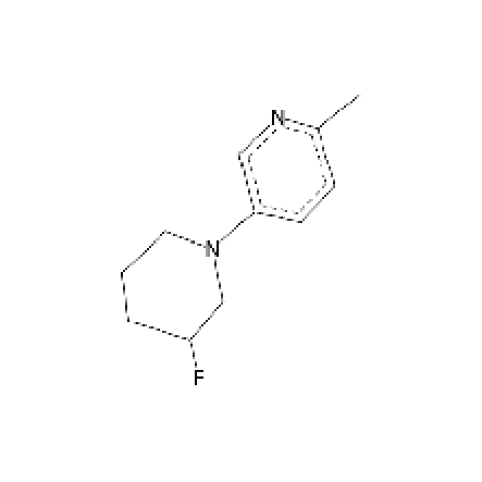 Cc1ccc(N2CCCC(F)C2)cn1